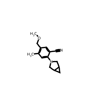 COCc1cc(C#N)c(N2CC3CC3C2)cc1C